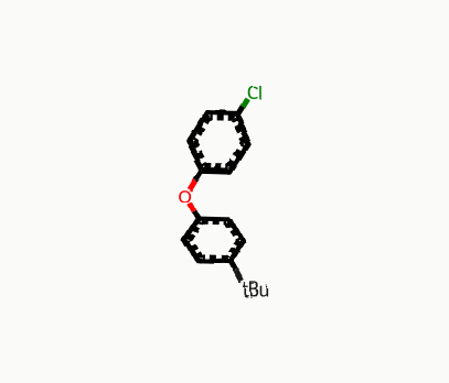 CC(C)(C)c1ccc(Oc2ccc(Cl)cc2)cc1